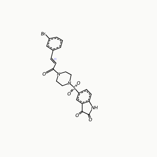 O=C1Nc2ccc(S(=O)(=O)N3CCN(C(=O)/C=C/c4cccc(Br)c4)CC3)cc2C1=O